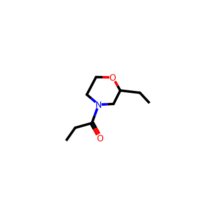 CCC(=O)N1CCOC(CC)C1